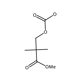 COC(=O)C(C)(C)COC([O])=O